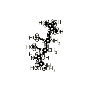 CC(=O)Nc1cc(S(=O)(=O)O)c2nc3c(C#N)c(C)c(N=Nc4cc(C)c(N=Nc5cc(N)c(N=Nc6nc7c(S(=O)(=O)O)cc8c(S(=O)(=O)O)cc(S(=O)(=O)O)cc8c7s6)cc5SCCCS(=O)(=O)O)cc4OCCCS(=O)(=O)O)c(O)n3c2c1